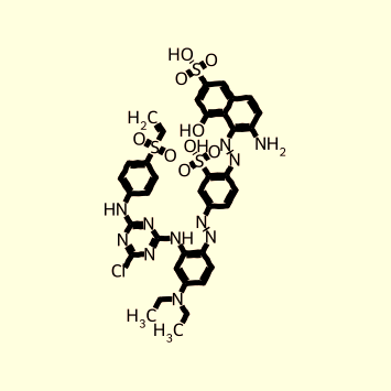 C=CS(=O)(=O)c1ccc(Nc2nc(Cl)nc(Nc3cc(N(CC)CC)ccc3/N=N/c3ccc(/N=N/c4c(N)ccc5cc(S(=O)(=O)O)cc(O)c45)c(S(=O)(=O)O)c3)n2)cc1